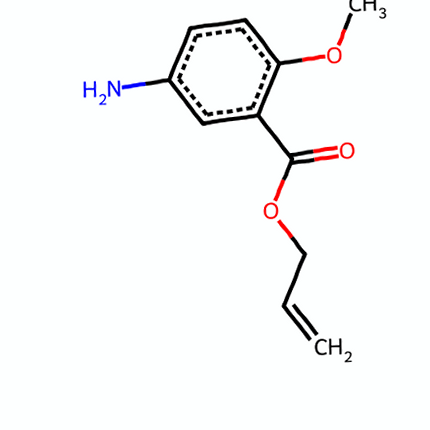 C=CCOC(=O)c1cc(N)ccc1OC